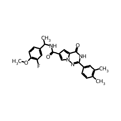 COc1ccc(C(C)NC(=O)c2cc3c(=O)[nH]c(-c4ccc(C)c(C)c4)nn3c2)cc1F